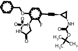 CC(C)(C)OC(=O)N[C@H]1C[C@@H]1C#Cc1ccc(OCc2ccccc2)c(N2CC(=O)NS2(=O)=O)c1F